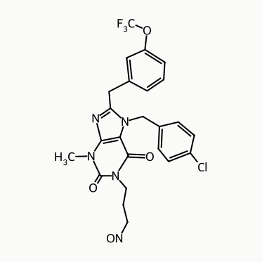 Cn1c(=O)n(CCCN=O)c(=O)c2c1nc(Cc1cccc(OC(F)(F)F)c1)n2Cc1ccc(Cl)cc1